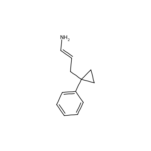 NC=CCC1(c2ccccc2)CC1